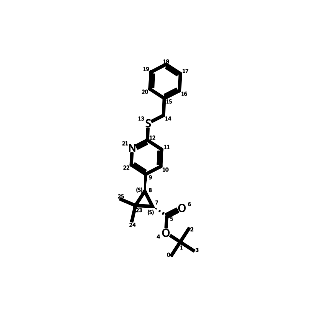 CC(C)(C)OC(=O)[C@H]1[C@H](c2ccc(SCc3ccccc3)nc2)C1(C)C